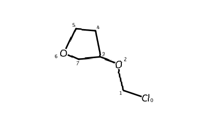 ClCOC1CCOC1